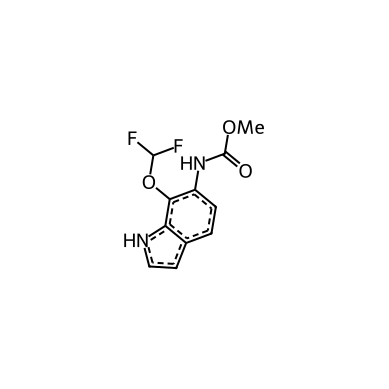 COC(=O)Nc1ccc2cc[nH]c2c1OC(F)F